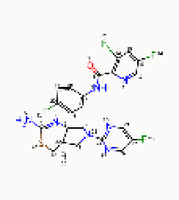 NC1=N[C@@]2(c3cc(NC(=O)c4ncc(F)cc4F)ccc3F)CN(c3ncc(F)cn3)C[C@H]2CS1